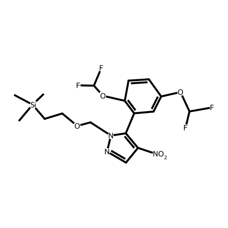 C[Si](C)(C)CCOCn1ncc([N+](=O)[O-])c1-c1cc(OC(F)F)ccc1OC(F)F